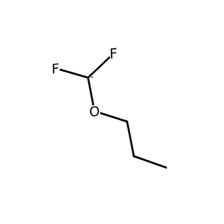 CCCO[C](F)F